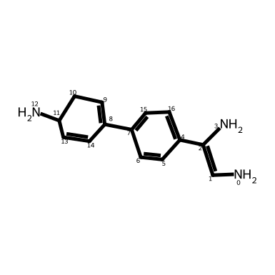 N/C=C(\N)c1ccc(C2=CCC(N)C=C2)cc1